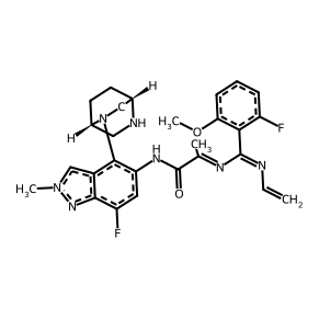 C=C/N=C(\N=C(/C)C(=O)Nc1cc(F)c2nn(C)cc2c1N1C[C@@H]2CC[C@H]1CN2)c1c(F)cccc1OC